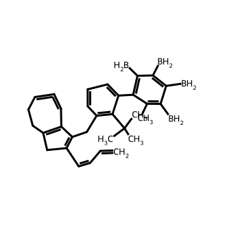 Bc1c(B)c(B)c(-c2cccc(CC3=C(/C=C\C=C)CC4=C3C=C=CCC4)c2C(C)(C)C)c(C)c1B